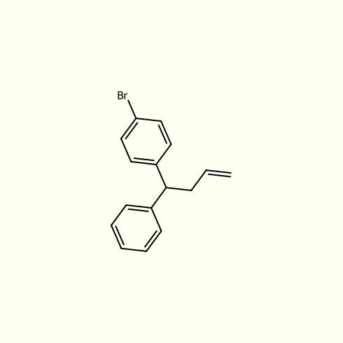 C=CCC(c1ccccc1)c1ccc(Br)cc1